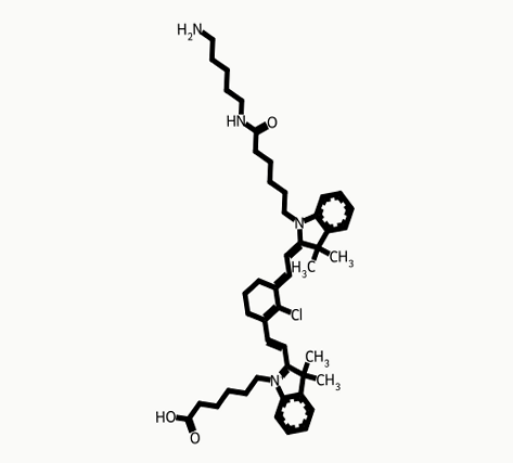 CC1(C)C(/C=C/C2=C(Cl)C(=C/C=C3/N(CCCCCC(=O)NCCCCCN)c4ccccc4C3(C)C)/CCC2)=[N+](CCCCCC(=O)O)c2ccccc21